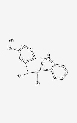 CCCOc1cccc(C(C)N(CC)c2c[nH]c3ccccc23)c1